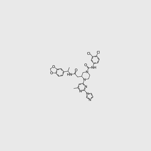 Cc1cc(N2CCN(C(=O)Nc3ccc(Cl)c(Cl)c3)CC2CC(=O)NC(C)c2ccc3c(c2)OCO3)nc(-n2ccnc2)n1